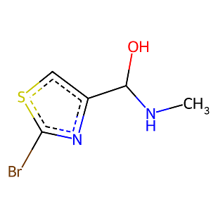 CNC(O)c1csc(Br)n1